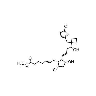 COC(=O)CCCC=CC[C@H]1C(Cl)C[C@@H](O)[C@@H]1C=CCC(O)C1(Cc2ccc(Cl)s2)CCC1